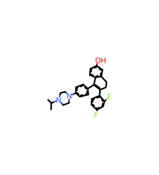 CC(C)N1CCN(c2ccc(C3=C(c4ccc(F)cc4F)CCc4cc(O)ccc43)cc2)CC1